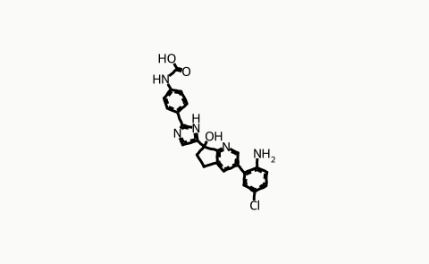 Nc1ccc(Cl)cc1-c1cnc2c(c1)CCC2(O)c1cnc(-c2ccc(NC(=O)O)cc2)[nH]1